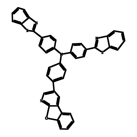 c1ccc2sc(-c3ccc(N(c4ccc(-c5cnc6oc7ccccc7c6c5)cc4)c4ccc(-c5nc6ccccc6s5)cc4)cc3)nc2c1